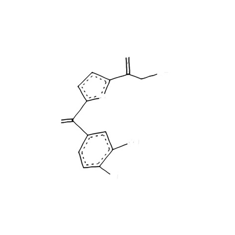 O=C(CO)c1ccc(C(=O)c2ccc(O)c(O)c2)o1